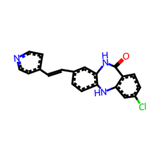 O=C1Nc2cc(/C=C/c3ccncc3)ccc2Nc2cc(Cl)ccc21